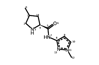 CC1CN[C@H](C(=O)Nc2ccn(C)n2)C1